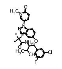 CC(C)C(NC(=O)C(F)(F)F)[C@H](Oc1ccc2c(cnn2-c2ccc(=O)n(C)c2)c1)c1cc(F)cc(Cl)c1